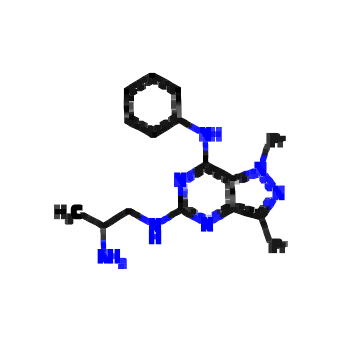 CC(N)CNc1nc(Nc2ccccc2)c2c(n1)c(C(C)C)nn2C(C)C